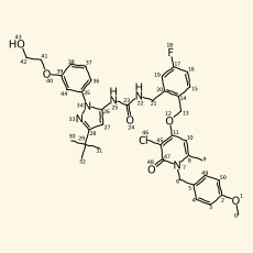 COc1ccc(Cn2c(C)cc(OCc3ccc(F)cc3CNC(=O)Nc3cc(C(C)(C)C)nn3-c3cccc(OCCO)c3)c(Cl)c2=O)cc1